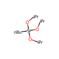 CCCC[Si](OC(C)C)(OC(C)C)OC(C)C